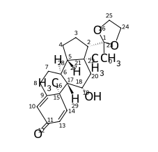 CC1([C@H]2CC[C@H]3[C@@H]4CCC5=CC(=O)C=C[C@]5(C)[C@H]4[C@@H](O)C[C@]23C)OCCO1